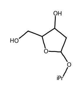 CC(C)OC1CC(O)C(CO)O1